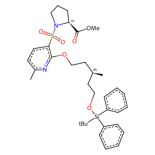 COC(=O)[C@@H]1CCCN1S(=O)(=O)c1ccc(C)nc1OCC[C@@H](C)CCO[Si](c1ccccc1)(c1ccccc1)C(C)(C)C